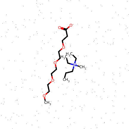 CCC[N+](C)(CC)CC.COCCOCCOCCOCCC(=O)[O-]